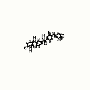 O=C1CCC(Nc2cccc(NC(=O)c3ccc(CN4CCC(F)(F)CC4)c(F)c3)c2)C(=O)N1